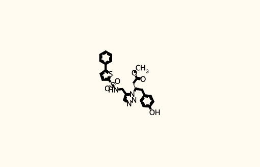 COC(=O)C[C@H](Cc1ccc(O)cc1)n1nncc1CNS(=O)(=O)c1ccc(-c2ccccc2)s1